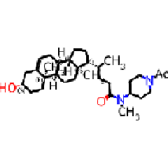 CC(=O)N1CCC(N(C)C(=O)CCC(C)[C@H]2CC[C@H]3[C@@H]4CC=C5C[C@@H](O)CC[C@]5(C)[C@H]4CC[C@]23C)CC1